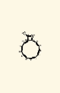 O=c1nc2cccccccccccc1-2